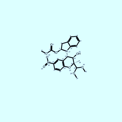 COC(=O)O[C@H]1Cc2ccccc2N1[C@H]1c2cc([N+](=O)[O-])ccc2O[C@](C)(C(OC)OC)[C@@H]1O